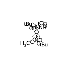 Cc1ccc2c(c1)[C@]1(C[C@H]1c1ccc3c(Nc4nccc5c4OCC5)nn(C(=O)OC(C)(C)C)c3c1)C(=O)N2C(=O)OC(C)(C)C